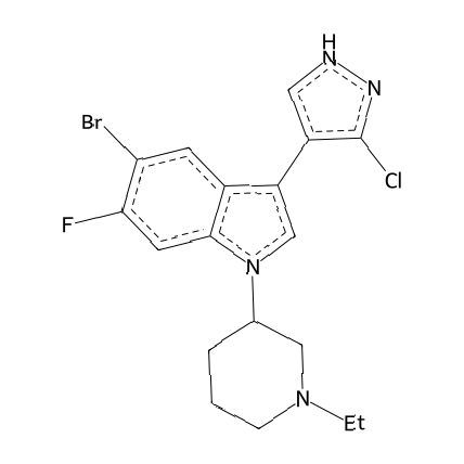 CCN1CCCC(n2cc(-c3c[nH]nc3Cl)c3cc(Br)c(F)cc32)C1